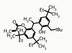 C=CC(=O)Oc1c(C(C)c2cc(C(C)(C)CC)cc(CC(C)(C)C)c2O)cc(C(C)(C)CC)cc1C(C)(C)CC